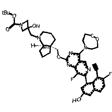 C#Cc1c(F)ccc2cc(O)cc(-c3ncc4c(N5CCCOCC5)nc(OC[C@]56CCC[C@H]5N(CC5(O)CN(C(=O)OC(C)(C)C)C5)CCC6)nc4c3F)c12